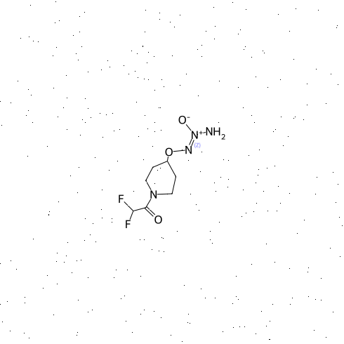 N/[N+]([O-])=N/OC1CCN(C(=O)C(F)F)CC1